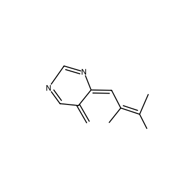 C=c1cncn/c1=C/C(C)=C(C)C